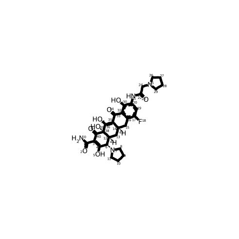 NC(=O)C1=C(O)[C@@H](N2CCCC2)[C@@H]2C[C@@H]3Cc4c(F)cc(NC(=O)CN5CCCC5)c(O)c4C(=O)C3=C(O)[C@]2(O)C1=O